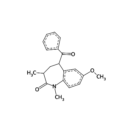 COc1ccc2c(c1)C(C(=O)c1ccccc1)CC(C)C(=O)N2C